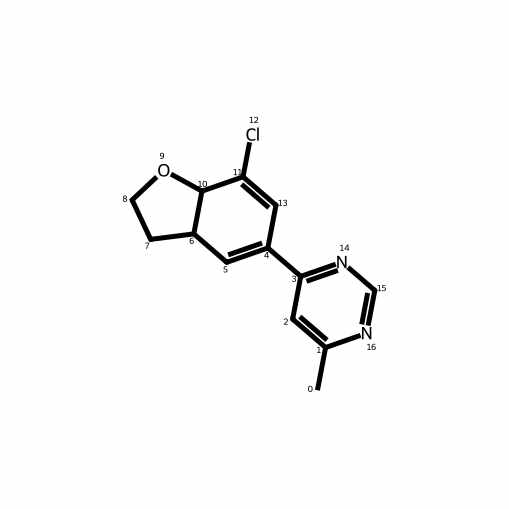 Cc1cc(C2=CC3CCOC3C(Cl)=C2)ncn1